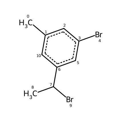 Cc1cc(Br)cc(C(C)Br)c1